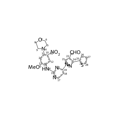 COc1cc(N2CCOCC2)c([N+](=O)[O-])cc1Nc1nccc(-n2cc(C=O)c(-c3cccs3)n2)n1